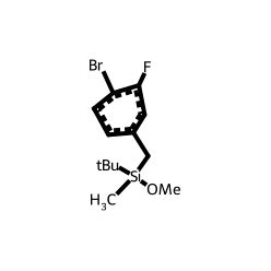 CO[Si](C)(Cc1ccc(Br)c(F)c1)C(C)(C)C